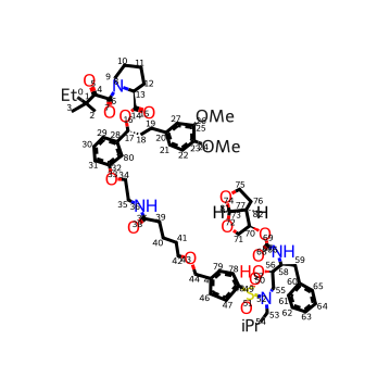 CCC(C)(C)C(=O)C(=O)N1CCCC[C@H]1C(=O)O[C@H](CCc1ccc(OC)c(OC)c1)c1cccc(OCCNC(=O)CCCCOCc2ccc(S(=O)(=O)N(CC(C)C)C[C@@H](O)[C@H](Cc3ccccc3)NC(=O)O[C@H]3CO[C@H]4OCC[C@H]43)cc2)c1